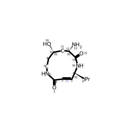 CC(C)[C@H]1/C=C/C(=O)NCC[C@H](O)C[C@H](N)C(=O)N1